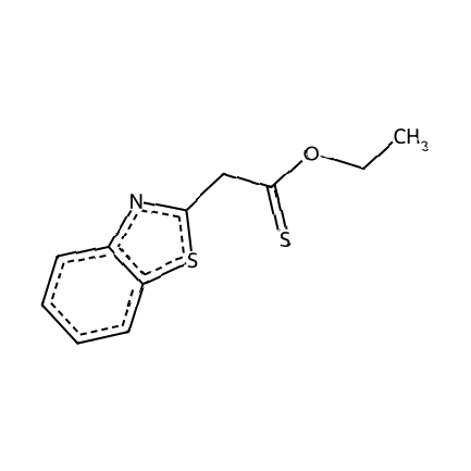 CCOC(=S)Cc1nc2ccccc2s1